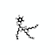 [N-]=[N+]=NCCCC[C@H](NC(=O)CCCN=[N+]=[N-])C(=O)N[C@@H](CCCCN=[N+]=[N-])C(=O)Oc1c(F)c(F)c(F)c(F)c1F